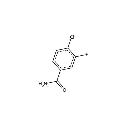 NC(=O)c1ccc(Cl)c(F)c1